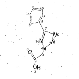 O=C(O)Cn1nnc(-c2ccccc2)n1